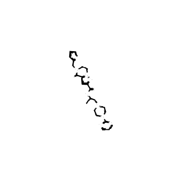 CC(CN1CCN(c2ncccn2)CC1)NC(=O)c1cc2n(n1)CCN(Cc1cccs1)C2=O